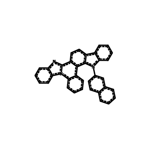 c1ccc2cc(-n3c4ccccc4c4ccc5c(c6ccccc6n6c7ccccc7nc56)c43)ccc2c1